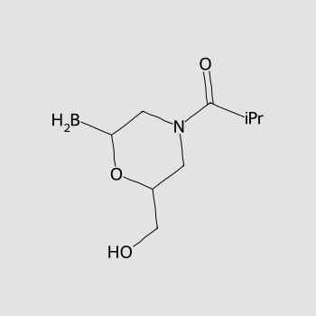 BC1CN(C(=O)C(C)C)CC(CO)O1